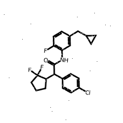 O=C(Nc1cc(CC2CC2)ccc1F)C(c1ccc(Cl)cc1)C1CCCC1(F)F